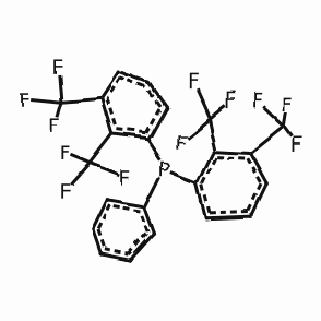 FC(F)(F)c1cccc(P(c2ccccc2)c2cccc(C(F)(F)F)c2C(F)(F)F)c1C(F)(F)F